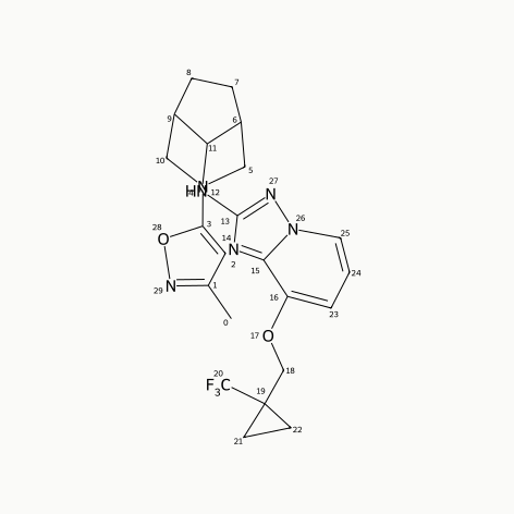 Cc1cc(N2CC3CCC(C2)C3Nc2nc3c(OCC4(C(F)(F)F)CC4)cccn3n2)on1